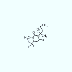 CCCC(C)(C)n1c(=O)cc(C(F)(F)F)n(C)c1=O